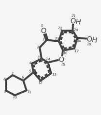 O=C1Cc2cc(C3CCCCC3)ccc2Oc2cc(O)c(O)cc21